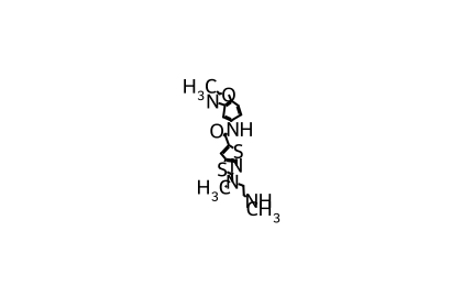 CNCCN(C)c1nc2sc(C(=O)Nc3ccc4oc(C)nc4c3)cc2s1